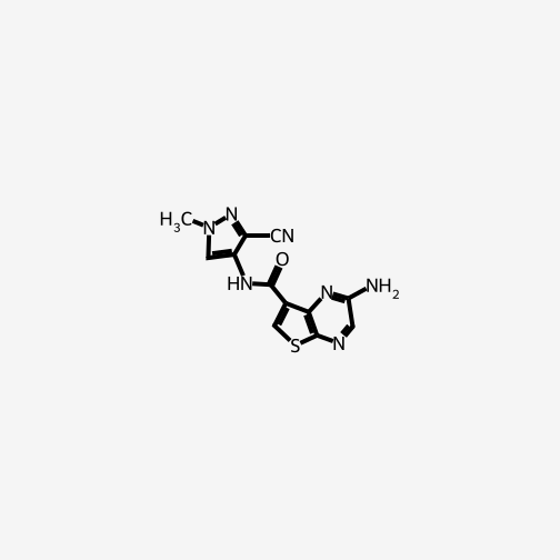 Cn1cc(NC(=O)c2csc3ncc(N)nc23)c(C#N)n1